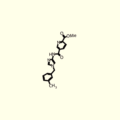 COC(=O)c1ccc(C(=O)Nc2cn(Cc3cccc(C)c3)cn2)cn1